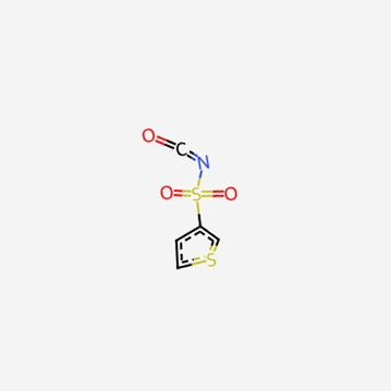 O=C=NS(=O)(=O)c1ccsc1